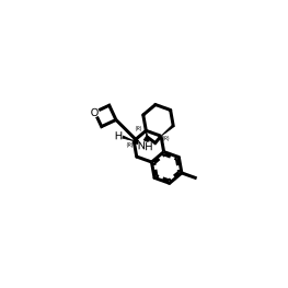 Cc1ccc2c(c1)[C@@]13CCCC[C@H]1[C@@H](C2)N(C1COC1)CC3